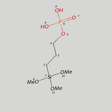 CO[Si](CCCOP(=O)(O)O)(OC)OC